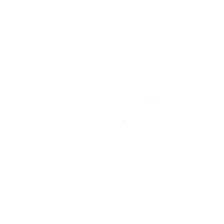 Cn1c2c(n3ccnc13)C=CC=CC2